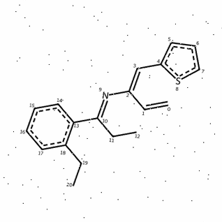 C=CC(=C\c1cccs1)/N=C(\CC)c1ccccc1CC